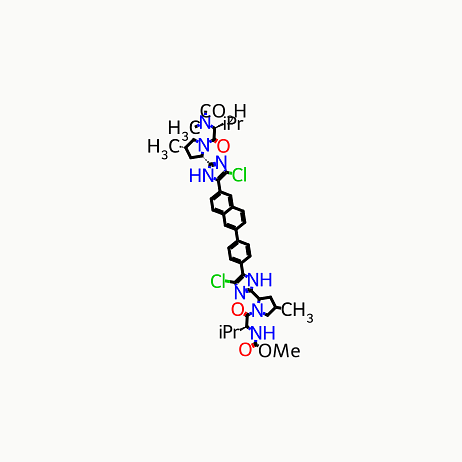 COC(=O)N[C@H](C(=O)N1CC(C)CC1c1nc(Cl)c(-c2ccc(-c3ccc4cc(-c5[nH]c([C@@H]6C[C@H](C)CN6C(=O)[C@H](C(C)C)N(C)C(=O)O)nc5Cl)ccc4c3)cc2)[nH]1)C(C)C